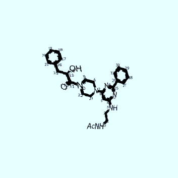 CC(=O)NCCNc1cc(N2CCN(C(=O)[C@H](O)Cc3ccccc3)CC2)nc(-c2ccccc2)n1